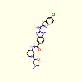 CN(C)CC(=O)N1CCC[C@@H](NC(=O)c2ccc3c(c2)nc(Nc2nc4ccc(Cl)cc4s2)n3C)C1